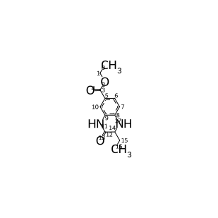 CCOC(=O)c1ccc2c(c1)NC(=O)C(CC)N2